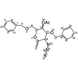 C=C1OC(COCc2ccccc2)[C@@H](OC(C)=O)C(OCc2ccccc2)C1N=[N+]=[N-]